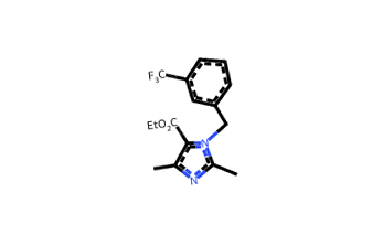 CCOC(=O)c1c(C)nc(C)n1Cc1cccc(C(F)(F)F)c1